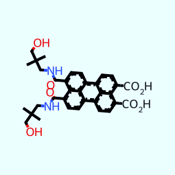 CC(C)(CO)CNC(=O)c1ccc2c3ccc(C(=O)O)c4c(C(=O)O)ccc(c5ccc(C(=O)NCC(C)(C)CO)c1c25)c43